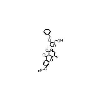 CCCOc1ccc(C(=O)n2c(=O)c(F)cn([C@@H]3CC(OCc4ccccc4)[C@H](CO)O3)c2=O)cc1